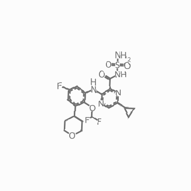 NS(=O)(=O)NC(=O)c1nc(C2CC2)cnc1Nc1cc(F)cc(C2CCOCC2)c1OC(F)F